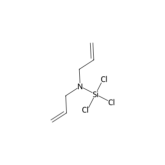 C=CCN(CC=C)[Si](Cl)(Cl)Cl